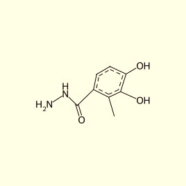 Cc1c(C(=O)NN)ccc(O)c1O